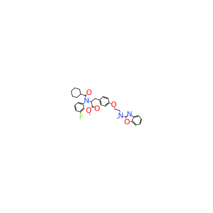 COC(=O)C(Cc1ccc(OCCN(C)c2nc3ccccc3o2)cc1)N(C(=O)C1CCCCC1)c1cccc(F)c1